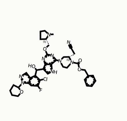 CN1CCC[C@H]1COc1nc(N2CCN(C(=O)OCc3ccccc3)[C@@H](CC#N)C2)c2[nH]cc(C(O)c3c(Cl)c(F)cc4c3cnn4C3CCCCO3)c2n1